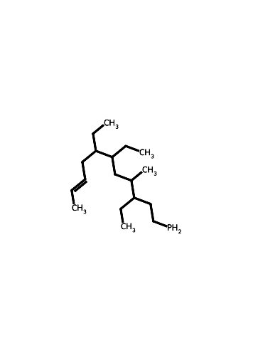 C/C=C/CC(CC)C(CC)CC(C)C(CC)CCP